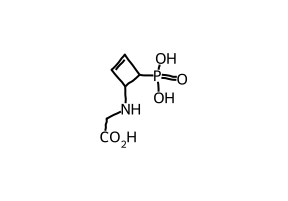 O=C(O)CNC1C=CC1P(=O)(O)O